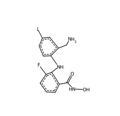 NCc1cc(I)ccc1Nc1c(F)cccc1C(=O)NO